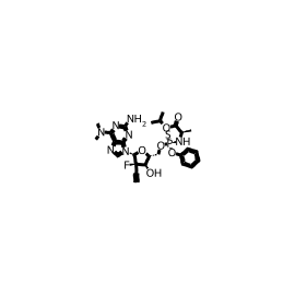 C#C[C@@]1(F)[C@H](O)[C@@H](CO[P@@](=S)(N[C@H](C)C(=O)OC(C)C)Oc2ccccc2)O[C@H]1n1cnc2c(N(C)C)nc(N)nc21